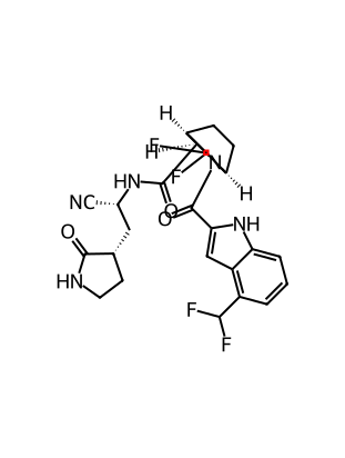 N#C[C@@H](C[C@@H]1CCNC1=O)NC(=O)[C@H]1[C@H]2CC[C@H](CC2(F)F)N1C(=O)c1cc2c(C(F)F)cccc2[nH]1